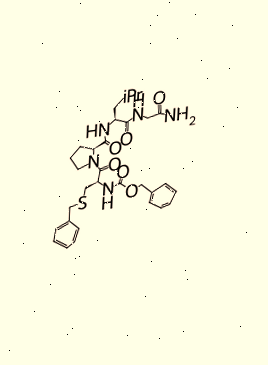 CC(C)C[C@H](NC(=O)[C@@H]1CCCN1C(=O)[C@H](CSCc1ccccc1)NC(=O)OCc1ccccc1)C(=O)NCC(N)=O